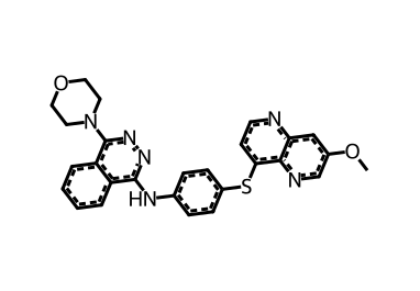 COc1cnc2c(Sc3ccc(Nc4nnc(N5CCOCC5)c5ccccc45)cc3)ccnc2c1